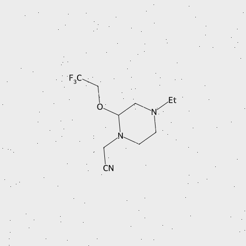 CCN1CCN(CC#N)C(OCC(F)(F)F)C1